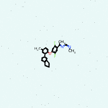 C/N=C\N=C(/C)c1cc(F)c(Oc2ccc(C)cc2-c2ccc3c(c2)CCC3)cc1F